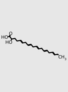 CC/C=C/C/C=C/C/C=C/C/C=C/C/C=C/CCC(O)C(=O)O